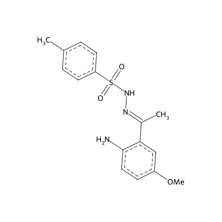 COc1ccc(N)c(C(C)=NNS(=O)(=O)c2ccc(C)cc2)c1